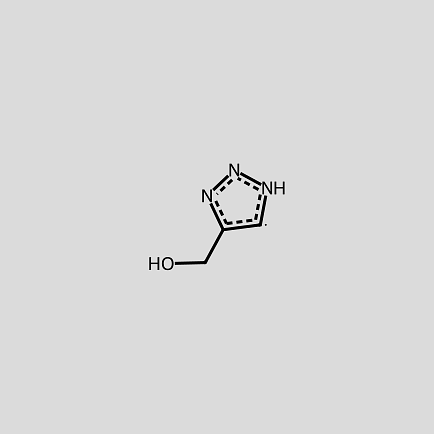 OCc1[c][nH]nn1